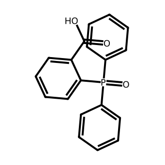 O=C(O)c1ccccc1P(=O)(c1ccccc1)c1ccccc1